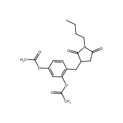 CC(=O)Oc1ccc(CC2CC(=O)N(CCCI)C2=O)c(OC(C)=O)c1